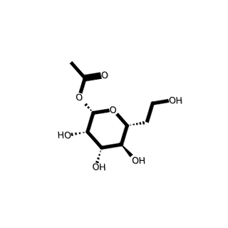 CC(=O)O[C@@H]1O[C@H](CCO)[C@@H](O)[C@H](O)[C@@H]1O